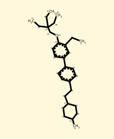 CCc1cc(-c2ccc(CCC3CCC(C)CC3)cc2)ccc1OCC(CC)(CC)CC